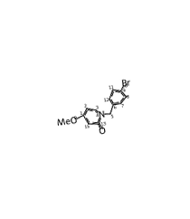 COc1ccn(Cc2ccc(Br)cc2)c(=O)c1